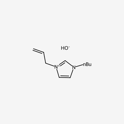 C=CC[n+]1ccn(CCCC)c1.[OH-]